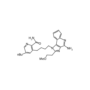 CCCCc1cnc(C(N)=O)c(CCCCn2c(CCOC)nc3c(N)nc4ccccc4c32)c1